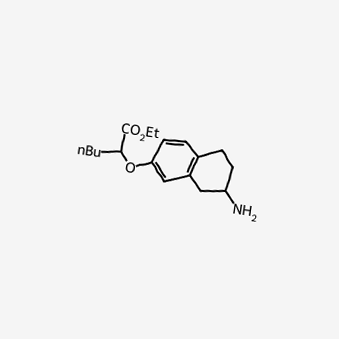 CCCCC(Oc1ccc2c(c1)CC(N)CC2)C(=O)OCC